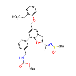 CC(=N[S+]([O-])C(C)(C)C)c1cc2cc(COc3ccccc3CC(=O)O)cc(-c3cccc(CNC(=O)OC(C)(C)C)c3)c2o1